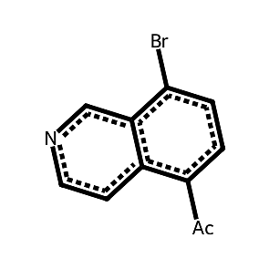 CC(=O)c1ccc(Br)c2cnccc12